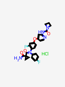 Cl.NC(=O)C1(C(=O)N(c2ccc(F)cc2)c2ccc(Oc3ccnc(NC(=O)N4CCC4)c3)cc2F)CC1